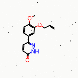 C=CCOc1cc(-c2ccc(=O)[nH]n2)ccc1OC